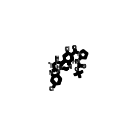 C[C@H](Nc1ncnc2cc(C(=O)N3CCCC3NC(=O)OC(C)(C)C)c(Cl)cc12)c1nc2cc(Cl)ccc2[nH]1